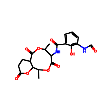 CC1OC(=O)C2CCC(=O)OC2C(C)OC(=O)C1NC(=O)c1cccc(NC=O)c1O